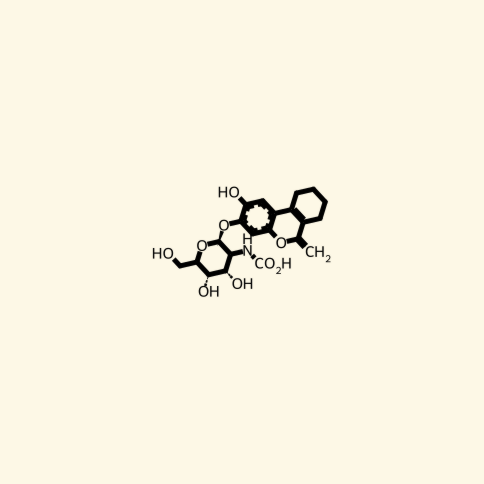 C=C1Oc2cc(O[C@@H]3OC(CO)[C@@H](O)[C@@H](O)C3NC(=O)O)c(O)cc2C2=C1CCCC2